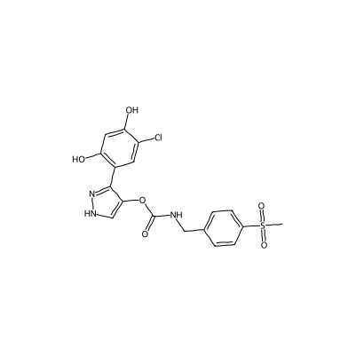 CS(=O)(=O)c1ccc(CNC(=O)Oc2c[nH]nc2-c2cc(Cl)c(O)cc2O)cc1